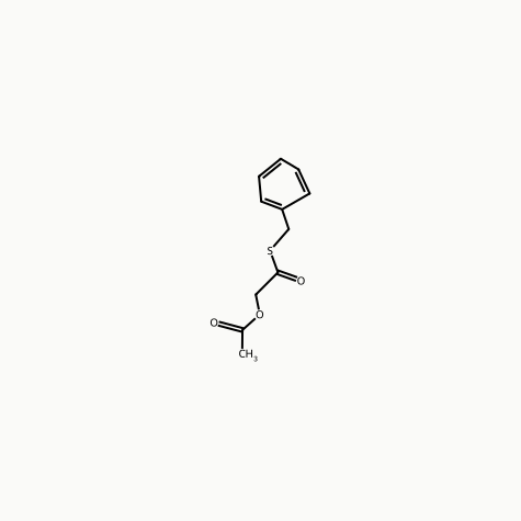 CC(=O)OCC(=O)SCc1ccccc1